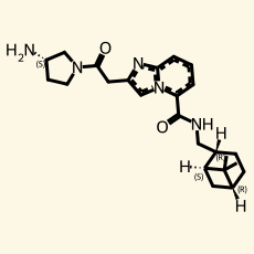 CC1(C)[C@@H]2CC[C@@H](CNC(=O)c3cccc4nc(CC(=O)N5CC[C@H](N)C5)cn34)[C@@H]1C2